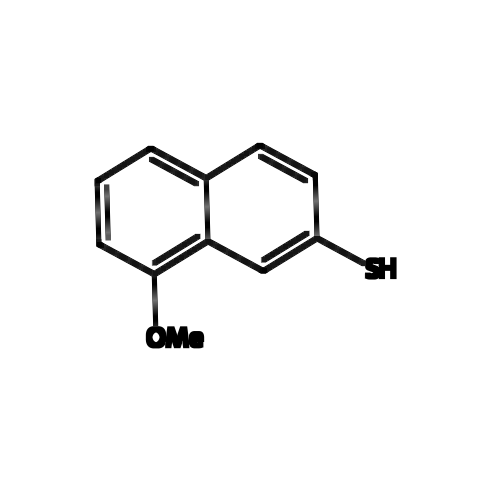 COc1cccc2ccc(S)cc12